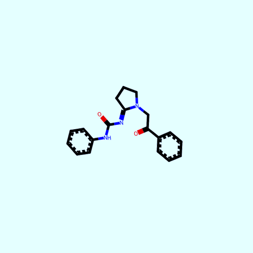 O=C(N=C1CCCN1CC(=O)c1ccccc1)Nc1ccccc1